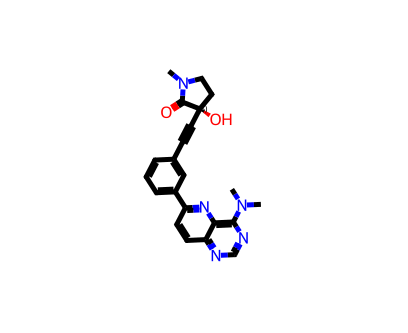 CN1CC[C@](O)(C#Cc2cccc(-c3ccc4ncnc(N(C)C)c4n3)c2)C1=O